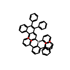 c1ccc(-c2cccc(-c3ccccc3)c2N(c2ccc3c(c2)c(-c2ccccc2)c(-c2ccccc2)c2ccccc23)c2cccc3oc4ccccc4c23)cc1